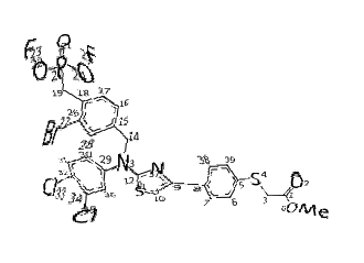 COC(=O)CSc1ccc(-c2csc(N(Cc3ccc(CP(=O)(OF)OF)c(Br)c3)c3ccc(Cl)c(Cl)c3)n2)cc1